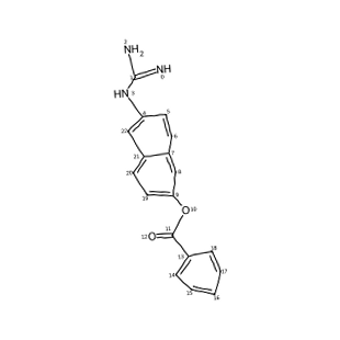 N=C(N)Nc1ccc2cc(OC(=O)c3ccccc3)ccc2c1